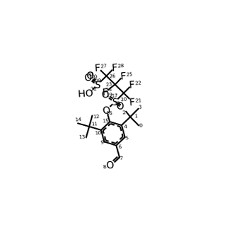 CC(C)(C)c1cc(C=O)cc(C(C)(C)C)c1OS(=O)(=O)C(F)(F)C(F)(F)C(F)(F)S(=O)(=O)O